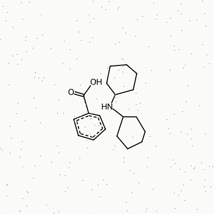 C1CCC(NC2CCCCC2)CC1.O=C(O)c1ccccc1